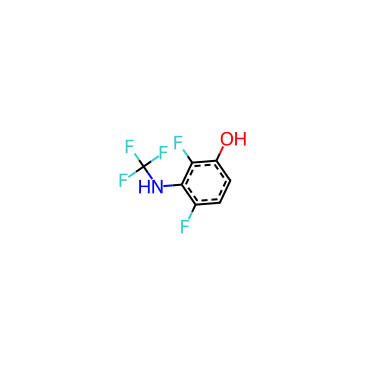 Oc1ccc(F)c(NC(F)(F)F)c1F